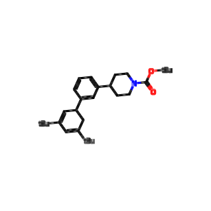 CC(C)(C)OC(=O)N1CCC(c2cccc(C3C=C(C(C)(C)C)C=C(C(C)(C)C)C3)c2)CC1